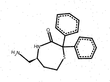 NC[C@@H]1CCSC(c2ccccc2)(c2ccccc2)C(=O)N1